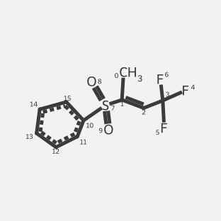 CC(=CC(F)(F)F)S(=O)(=O)c1ccccc1